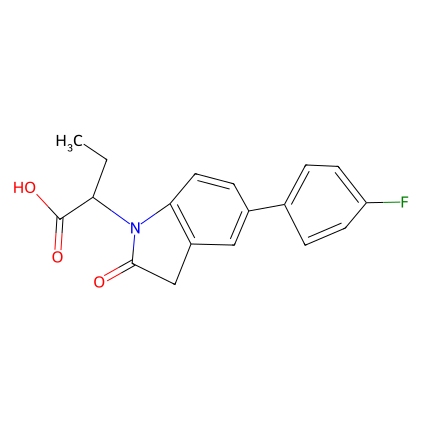 CCC(C(=O)O)N1C(=O)Cc2cc(-c3ccc(F)cc3)ccc21